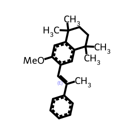 COc1cc2c(cc1/C=C(\C)c1ccccc1)C(C)(C)CCC2(C)C